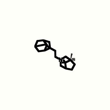 CC1(C)C2CC[C@]1(C)CN(CCC13CC4CC(CC1C4)C3)C2